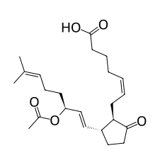 CC(=O)O[C@H](/C=C/[C@H]1CCC(=O)[C@@H]1C/C=C\CCCC(=O)O)CCC=C(C)C